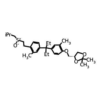 CCC(CC)(c1ccc(CC[S+]([O-])CC(C)C)c(C)c1)c1ccc(OC[C@@H]2COC(C)(C)O2)c(C)c1